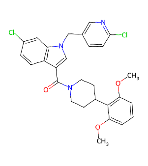 COc1cccc(OC)c1C1CCN(C(=O)c2cn(Cc3ccc(Cl)nc3)c3cc(Cl)ccc23)CC1